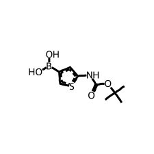 CC(C)(C)OC(=O)Nc1cc(B(O)O)cs1